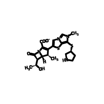 C[C@@H](O)[C@H]1C(=O)N2C(C(=O)[O-])=C(c3c[n+]4cn(C)c(S[C@H]5CCNC5)c4s3)[C@H](C)[C@H]12